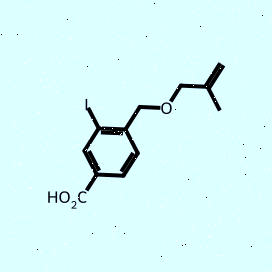 C=C(C)COCc1ccc(C(=O)O)cc1I